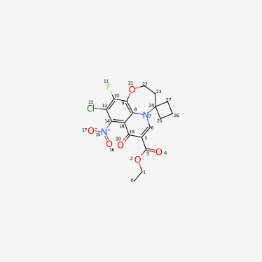 CCOC(=O)c1cn2c3c(c(F)c(Cl)c([N+](=O)[O-])c3c1=O)OCCC21CCC1